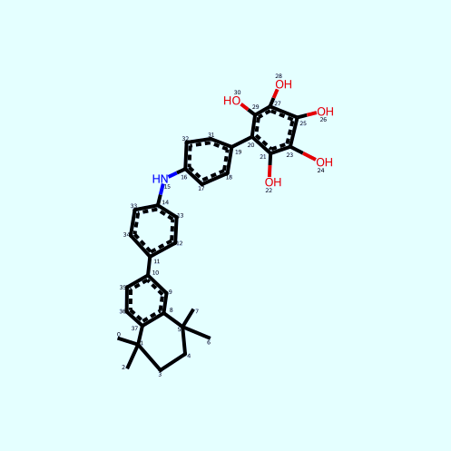 CC1(C)CCC(C)(C)c2cc(-c3ccc(Nc4ccc(-c5c(O)c(O)c(O)c(O)c5O)cc4)cc3)ccc21